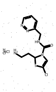 Cl.Cl.NCCC1SC(Cl)=CN1C(=O)NCc1cccnn1